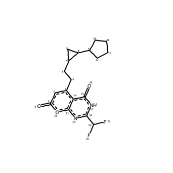 O=c1cc(CCC2CC2C2CCCC2)c2c(=O)[nH]c(C(F)F)nc2o1